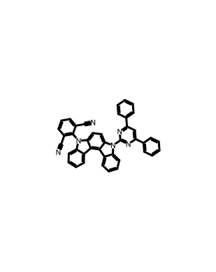 N#Cc1cccc(C#N)c1-n1c2ccccc2c2c3c4ccccc4n(-c4nc(-c5ccccc5)cc(-c5ccccc5)n4)c3ccc21